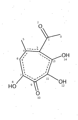 CC(=O)c1c(C)cc(O)c(=O)c(O)c1O